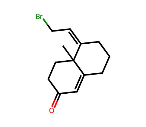 CC12CCC(=O)C=C1CCC/C2=C/CBr